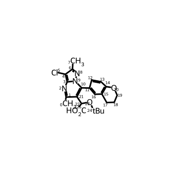 Cc1nc2c(Cl)c(C)nn2c(-c2ccc3c(c2)CCCO3)c1C(OC(C)(C)C)C(=O)O